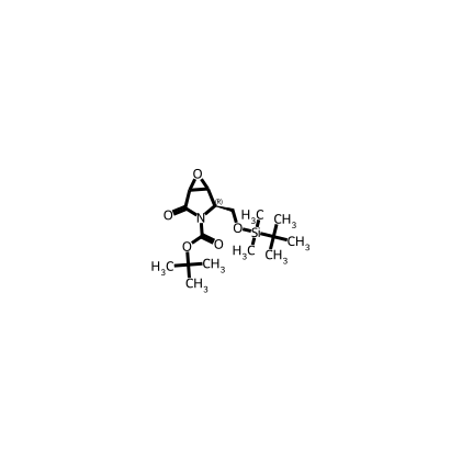 CC(C)(C)OC(=O)N1C(=O)C2OC2[C@H]1CO[Si](C)(C)C(C)(C)C